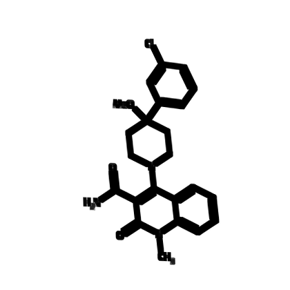 COC1(c2cccc(Cl)c2)CCN(c2c(C(N)=O)c(=O)n(C)c3ccccc23)CC1